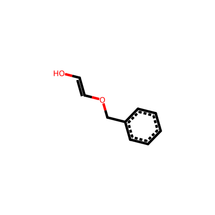 OC=COCc1ccccc1